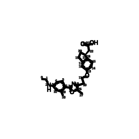 CCNc1ccc(-c2nc(CCOc3ccc4c(c3)CC[C@H]4CC(=O)O)c(C)o2)c(C)c1